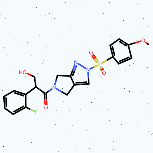 COc1ccc(S(=O)(=O)n2cc3c(n2)CN(C(=O)C(CO)c2ccccc2F)C3)cc1